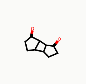 O=C1CCC2C3CCC(=O)C3C12